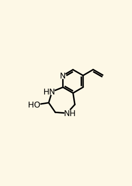 C=Cc1cnc2c(c1)CNCC(O)N2